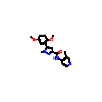 COc1ccc(OC)c(-c2cc(C(=O)Nc3ccncc3C)nn2C)c1